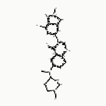 CN1CCC(N(C)c2ccc3ncn(-c4cc(F)c5nn(C)cc5c4)c(=O)c3c2)CC1